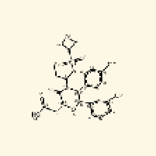 CCC(CS(=O)(=O)C1COC1)N1C(=O)[C@@H](CC(=O)O)O[C@H](c2cccc(Cl)c2)[C@H]1c1ccc(Cl)cc1